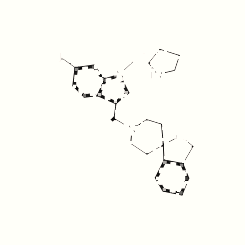 O=C(c1cn(C[C@@H]2CCCN2)c2cc(Cl)ccc12)N1CCC2(CC1)OCc1ccccc12